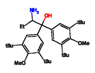 CCC(N)C(O)(c1cc(C(C)(C)C)c(OC)c(C(C)(C)C)c1)c1cc(C(C)(C)C)c(OC)c(C(C)(C)C)c1